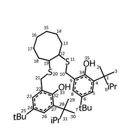 CC(C)C(C)(C)c1cc(C(C)(C)C)cc(CSC2CCCCCCC2SCc2cc(C(C)(C)C)cc(C(C)(C)C(C)C)c2O)c1O